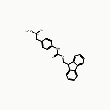 N[C@@H](Cc1ccc(NC(=O)OCC2c3ccccc3-c3ccccc32)cc1)C(=O)O